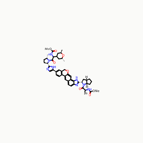 COC(=O)NC(C(=O)N1[C@H](c2nc3ccc4cc5c(cc4c3[nH]2)OCc2cc(-c3cnc([C@@H]4CC[C@H](C)N4C(=O)C(NC(=O)OC)C4C[C@@H](C)O[C@H](C)C4)[nH]3)ccc2-5)C[C@@H]2CCC[C@@H]21)C(C)C